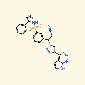 CC(NS(=O)(=O)c1cccc(C(CC#N)n2cc(-c3ncnc4[nH]ccc34)cn2)c1)c1ccccc1